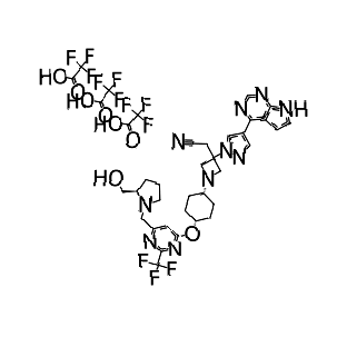 N#CCC1(n2cc(-c3ncnc4[nH]ccc34)cn2)CN([C@H]2CC[C@@H](Oc3cc(CN4CCC[C@@H]4CO)nc(C(F)(F)F)n3)CC2)C1.O=C(O)C(F)(F)F.O=C(O)C(F)(F)F.O=C(O)C(F)(F)F